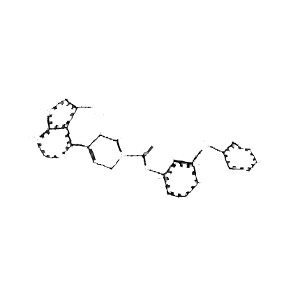 Cc1c[nH]c2ncnc(C3=CCN(C(=O)Nc4cccc(Oc5ccccc5)c4)CC3)c12